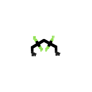 CC(C)CC(F)(F)CC(F)(F)CC(C)C